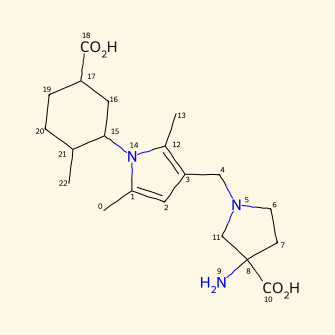 Cc1cc(CN2CCC(N)(C(=O)O)C2)c(C)n1C1CC(C(=O)O)CCC1C